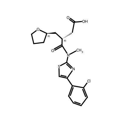 CN(C(=O)[C@@H](CC(=O)O)C[C@H]1CCCO1)c1nc(-c2ccccc2Cl)cs1